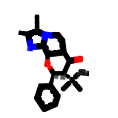 Cc1nc2c3c(ccn2c1C)C(=O)[C@H]([Si](C)(C)C(C)(C)C)[C@@H](c1ccccc1)O3